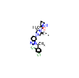 CC1CN(c2ccc3ncn(C(C)c4ccc(Cl)cc4Cl)c3c2)CCN1C(=O)C1(C)CCCN1